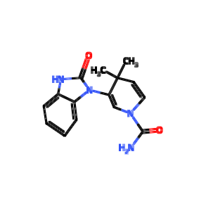 CC1(C)C=CN(C(N)=O)C=C1n1c(=O)[nH]c2ccccc21